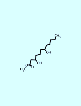 CCCCCC(O)CCCC(O)CC(=O)OC